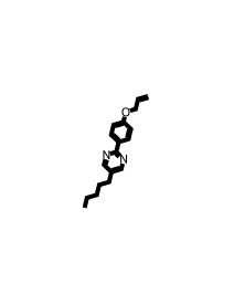 C=CCOc1ccc(-c2ncc(CCCCC)cn2)cc1